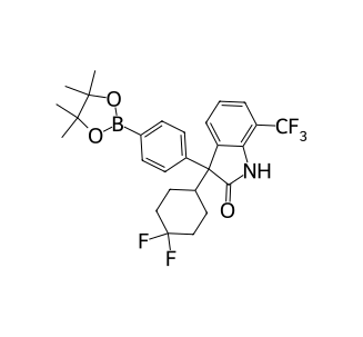 CC1(C)OB(c2ccc(C3(C4CCC(F)(F)CC4)C(=O)Nc4c(C(F)(F)F)cccc43)cc2)OC1(C)C